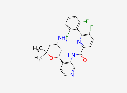 CC1(C)C[C@H](N)C[C@@H](c2ccncc2NC(=O)c2ccc(F)c(-c3c(F)cccc3F)n2)O1